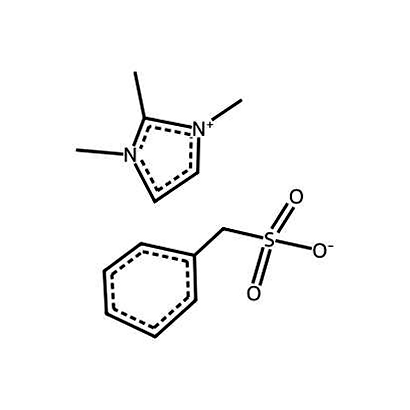 Cc1n(C)cc[n+]1C.O=S(=O)([O-])Cc1ccccc1